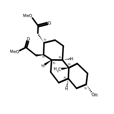 COC(=O)C[C@@H]1CC[C@@H]2[C@H](CC[C@@H]3C[C@@H](O)CC[C@]32C)[C@H]1CC(=O)OC